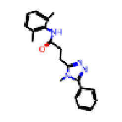 Cc1cccc(C)c1NC(=O)CCc1nnc(-c2ccccc2)n1C